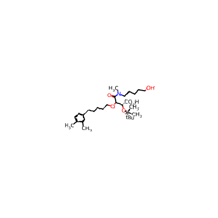 Cc1ccc(CCCCCO[C@@H](C(=O)N(C)CCCCCO)[C@@H](O[Si](C)(C)C(C)(C)C)C(=O)O)cc1C